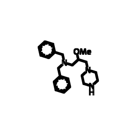 COC(CN1CCNCC1)CN(Cc1ccccc1)Cc1ccccc1